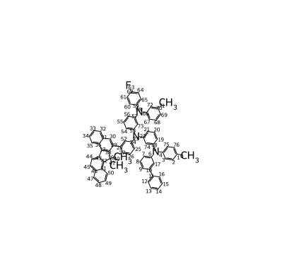 Cc1ccc(N(c2cccc(-c3ccccc3)c2)c2cccc(N(c3cccc(-c4cc5ccccc5c5c4C(C)(C)c4c-5ccc5ccccc45)c3)c3cccc(N(c4ccc(F)cc4)c4cccc(C)c4)c3)c2)cc1